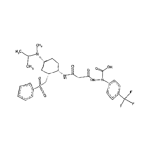 CC(C)N(C)[C@@H]1CC[C@H](NC(=O)CC(=O)NN(C(=O)O)c2ccc(C(F)(F)F)cc2)[C@H](CS(=O)(=O)c2ccccc2)C1